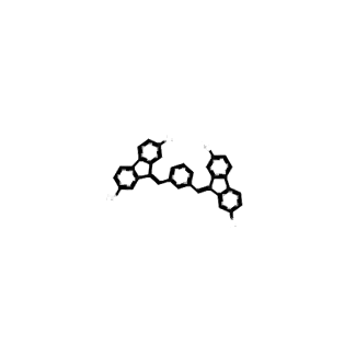 Brc1ccc2c(c1)C(=Cc1cccc(C=C3c4cc(Br)ccc4-c4ccc(Br)cc43)c1)c1cc(Br)ccc1-2